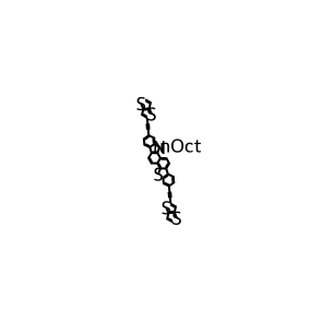 CCCCCCCCn1c2cc(C#Cc3cc4sccc4s3)ccc2c2ccc3c(ccc4c5ccc(C#Cc6cc7sccc7s6)cc5sc43)c21